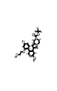 COCCOc1cc(F)ccc1-c1cnc(OC)cc1-c1cc2n(n1)CCN(C(=O)OC(C)(C)C)C2